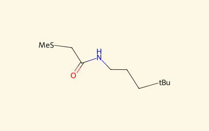 CSCC(=O)NCCCC(C)(C)C